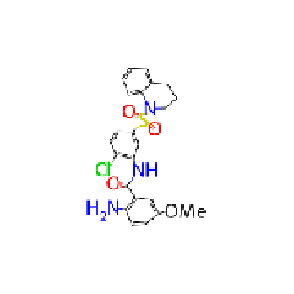 COc1ccc(N)c(C(=O)Nc2cc(S(=O)(=O)N3CCCc4ccccc43)ccc2Cl)c1